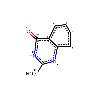 O=C(O)c1nc2ccccc2c(=O)[nH]1